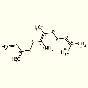 C=CC(=C)CC/C(N)=C(\C)CCC=C(C)C